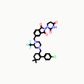 CC1(C)CCC(CN2CCN(Cc3ccc4c(c3)C(=O)N(N3CCC(=O)NC3=O)C4=O)C(C(F)(F)F)C2)=C(c2ccc(Cl)cc2)C1